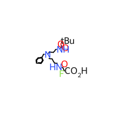 CC(C)(C)OC(=O)NCCCN(CCCCNC(=O)C(F)C(=O)O)Cc1ccccc1